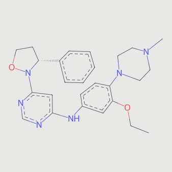 CCOc1cc(Nc2cc(N3OCC[C@@H]3c3ccccc3)ncn2)ccc1N1CCN(C)CC1